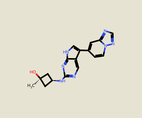 C[C@]1(O)C[C@@H](Nc2ncc3c(-c4ccn5ncnc5c4)c[nH]c3n2)C1